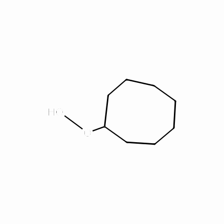 OOC1CCCCCCC1